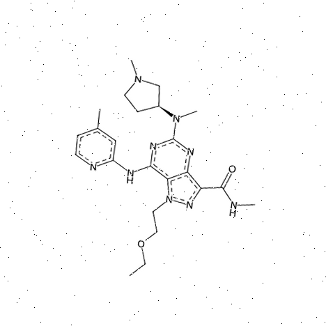 CCOCCn1nc(C(=O)NC)c2nc(N(C)[C@H]3CCN(C)C3)nc(Nc3cc(C)ccn3)c21